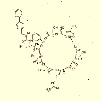 CC[C@H](C)C1NC(=O)[C@@H](CCCNC(=N)N)NC(=O)[C@H](CC(C)C)NC(=O)[C@H]([C@H](O)C(C)C)NC(=O)[C@@H](NC(=O)[C@H](CC(C)C)NC(=O)[C@@H](N)Cc2ccc(-c3ccccc3)cc2)[C@@H](c2ccccc2)OC(=O)[C@H](CO)NC(=O)[C@H]([C@H](O)C(N)=O)NC(=O)CNC(=O)C([C@H](C)O)NC1=O